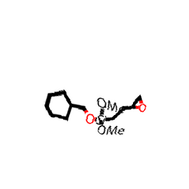 CO[Si](CCC1CO1)(OC)OCC1CCCCC1